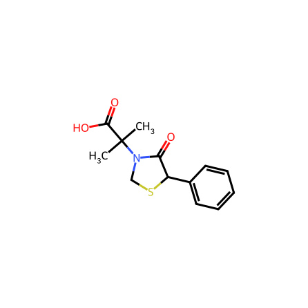 CC(C)(C(=O)O)N1CSC(c2ccccc2)C1=O